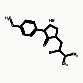 Br.COc1ccc(C2CCC(CC(Br)N(C)C)C2=O)cc1